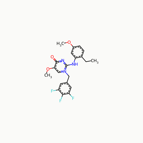 CCc1ccc(OC)cc1Nc1nc(=O)c(OC)cn1Cc1cc(F)c(F)c(F)c1